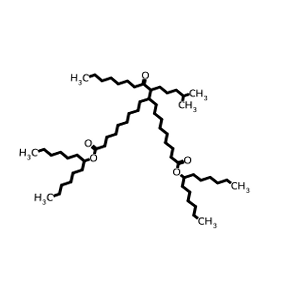 CCCCCCCC(=O)C(CCCC(C)C)C(CCCCCCCCC(=O)OC(CCCCCC)CCCCCC)CCCCCCCCC(=O)OC(CCCCCC)CCCCCC